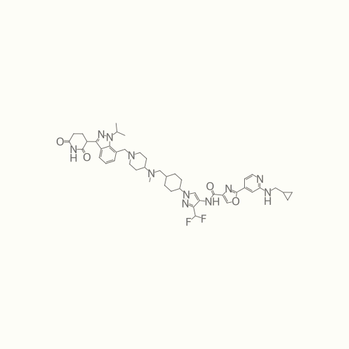 CC(C)n1nc(C2CCC(=O)NC2=O)c2cccc(CN3CCC(N(C)CC4CCC(n5cc(NC(=O)c6coc(-c7ccnc(NCC8CC8)c7)n6)c(C(F)F)n5)CC4)CC3)c21